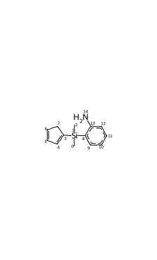 C[Si](C)(C1=CC=CC1)c1ccccc1N